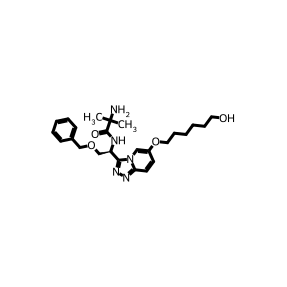 CC(C)(N)C(=O)N[C@H](COCc1ccccc1)c1nnc2ccc(OCCCCCCO)cn12